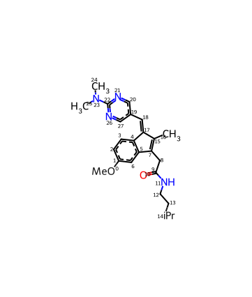 COc1ccc2c(c1)C(CC(=O)NCCC(C)C)=C(C)/C2=C/c1cnc(N(C)C)nc1